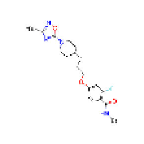 CCNC(=O)c1ccc(OCCCC2CCN(c3nc(C(C)(C)C)no3)CC2)cc1F